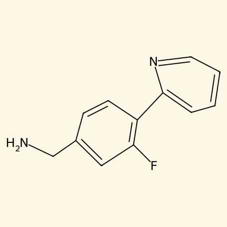 NCc1ccc(-c2ccccn2)c(F)c1